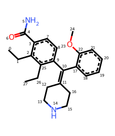 CCc1c(C(N)=O)ccc(C(=C2CCNCC2)c2ccccc2OC)c1CC